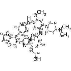 COc1cc(N2CCC(N(C)C)CC2)c(NC(=O)C2CC2)cc1Nc1nccc(-c2[nH]c(CCCO)nc2-c2ccc3ccoc3c2)n1